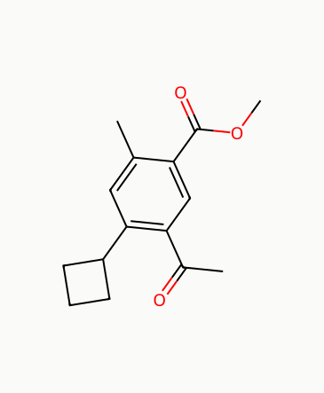 COC(=O)c1cc(C(C)=O)c(C2CCC2)cc1C